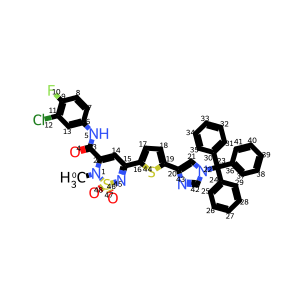 CN1C(C(=O)Nc2ccc(F)c(Cl)c2)=CC(c2ccc(-c3cn(C(c4ccccc4)(c4ccccc4)c4ccccc4)cn3)s2)=NS1(=O)=O